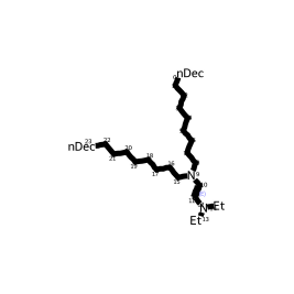 CCCCCCCCCCCCCCCCCCN(/C=C/N(CC)CC)CCCCCCCCCCCCCCCCCC